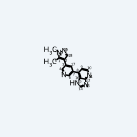 Cc1c(-c2cncc(-c3ccnc4nc[nH]c34)c2)cnn1C